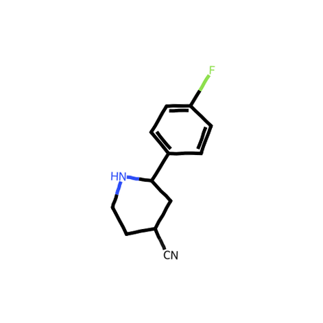 N#CC1CCNC(c2ccc(F)cc2)C1